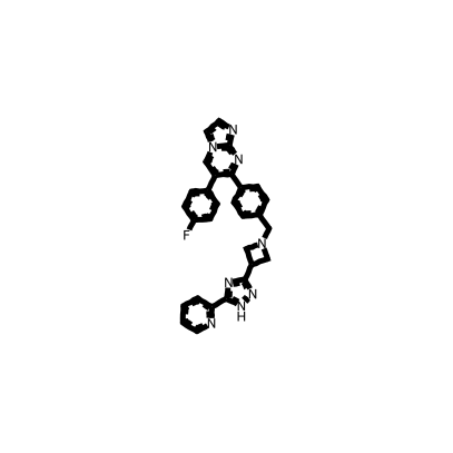 Fc1ccc(-c2cn3ccnc3nc2-c2ccc(CN3CC(c4n[nH]c(-c5ccccn5)n4)C3)cc2)cc1